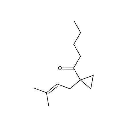 CCCCC(=O)C1(CC=C(C)C)CC1